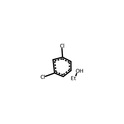 CCO.Clc1cccc(Cl)c1